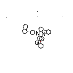 c1ccc(-n2c3ccccc3c3cccc(N(c4ccc(-c5cccc6ccccc56)cc4)c4ccc5c(c4)oc4ccccc45)c32)cc1